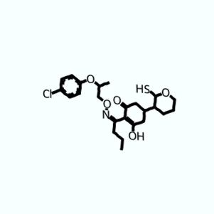 CCCC(=NOCC(C)Oc1ccc(Cl)cc1)C1=C(O)CC(C2CCCOC2S)CC1=O